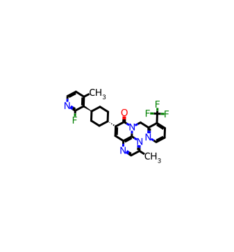 Cc1cnc2cc([C@H]3CC[C@H](c4c(C)ccnc4F)CC3)c(=O)n(Cc3ncccc3C(F)(F)F)c2n1